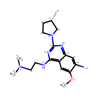 COc1cc2c(NCCN(C)C)nc(N3CC[C@H](F)C3)nc2cc1I